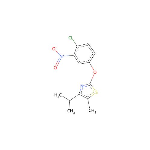 Cc1sc(Oc2ccc(Cl)c([N+](=O)[O-])c2)nc1C(C)C